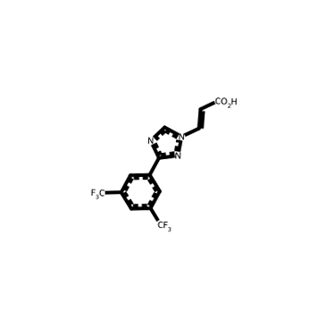 O=C(O)/C=C/n1cnc(-c2cc(C(F)(F)F)cc(C(F)(F)F)c2)n1